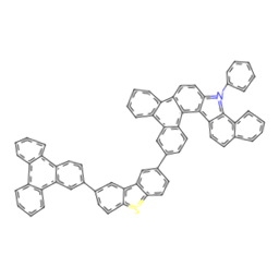 c1ccc(-n2c3ccc4c5ccccc5c5cc(-c6ccc7sc8ccc(-c9ccc%10c%11ccccc%11c%11ccccc%11c%10c9)cc8c7c6)ccc5c4c3c3ccc4ccccc4c32)cc1